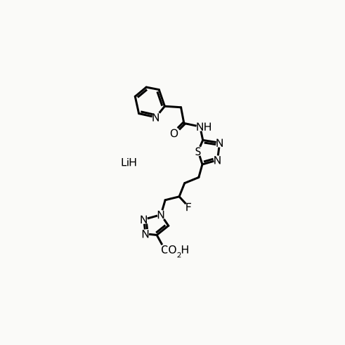 O=C(Cc1ccccn1)Nc1nnc(CCC(F)Cn2cc(C(=O)O)nn2)s1.[LiH]